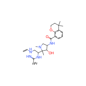 C=CNCC(NC(=N)CCC)C1(C)C(O)C(NC(=O)c2cccc3c2OCCC3(C)C)CN1C